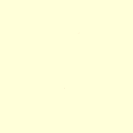 Brc1ccc2cc(OC3CC3)ccc2c1